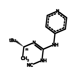 C[C@@H](N=C(NC#N)Nc1ccncc1)C(C)(C)C